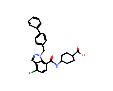 O=C(NC1CCC(C(=O)O)CC1)c1ccc(Cl)c2cnn(Cc3ccc(-c4ccccc4)cc3)c12